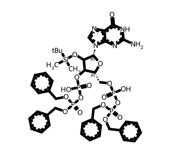 CC(C)(C)[Si](C)(C)OC1C(OP(=O)(O)OP(=O)(OCc2ccccc2)OCc2ccccc2)[C@@H](COP(=O)(O)OP(=O)(OCc2ccccc2)OCc2ccccc2)O[C@H]1n1cnc2c(=O)[nH]c(N)nc21